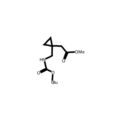 COC(=O)CC1(CNC(=O)OC(C)(C)C)CC1